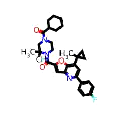 CC1(c2cc(-c3ccc(F)cc3)nc3cc(C(=O)N4CCN(C(=O)C5CCCCC5)CC4(C)C)oc23)CC1